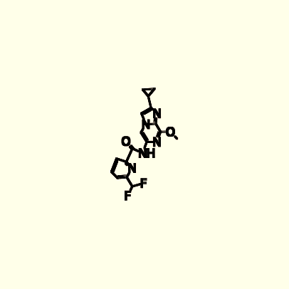 COc1nc(NC(=O)c2cccc(C(F)F)n2)cn2cc(C3CC3)nc12